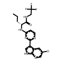 CCC[C@@H](Nc1ccnc(-c2c[nH]c3ncc(Cl)cc23)n1)C(=O)NCC(F)(F)F